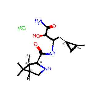 C[C@H]1C[C@@H]1CC(NC(=O)[C@H]1NC[C@H]2[C@@H]1C2(C)C)C(O)C(N)=O.Cl